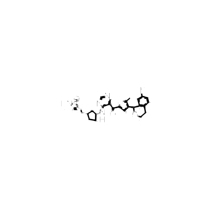 Cc1oc(C(=O)c2cncnc2N[C@H]2CC[C@@H](COS(N)(=O)=O)C2)cc1C1OCCc2ccc(I)cc21